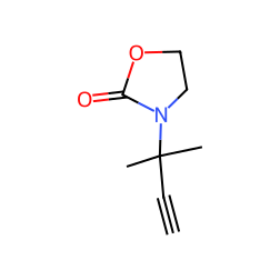 C#CC(C)(C)N1CCOC1=O